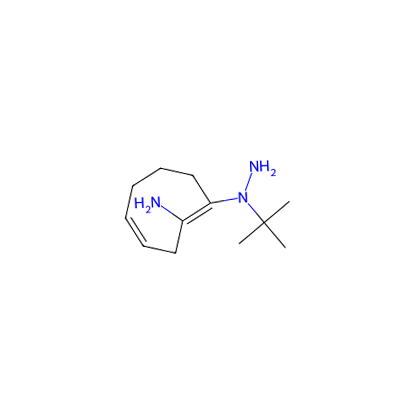 CC(C)(C)N(N)/C1=C(/N)C/C=C\CCC1